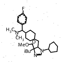 CCC(C)C1(C(=O)OC)N=CN(C2CCCCC2)C1CC1CCC(C(c2ccc(F)cc2)N(C)C)CC1